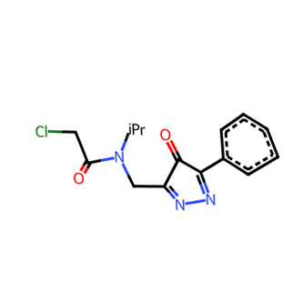 CC(C)N(CC1=NN=C(c2ccccc2)C1=O)C(=O)CCl